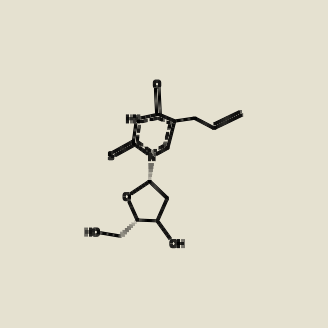 C=CCc1cn([C@@H]2CC(O)[C@H](CO)O2)c(=S)[nH]c1=O